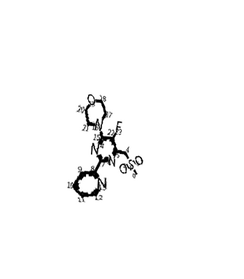 CS(=O)(=O)Cc1nc(-c2ccccn2)nc(N2CCOCC2)c1F